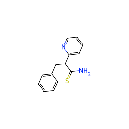 NC(=S)C(Cc1ccccc1)c1ccccn1